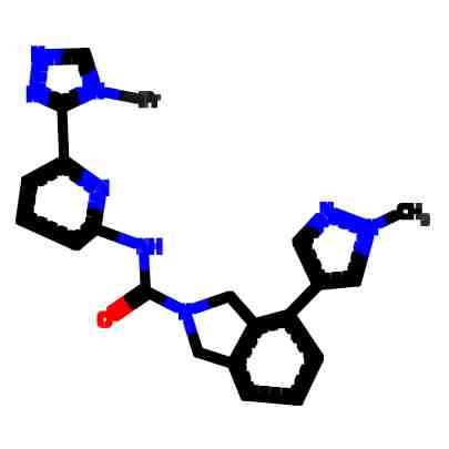 CC(C)n1cnnc1-c1cccc(NC(=O)N2Cc3cccc(-c4cnn(C)c4)c3C2)n1